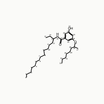 CCCCCCCCCCCCCC(CC)NC(=O)c1cc(O)cc(OC(C)CCCCCC)c1